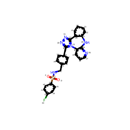 O=S(=O)(NCc1ccc(-c2nnc3n2-c2cccnc2Nc2ccccc2-3)cc1)c1ccc(F)cc1